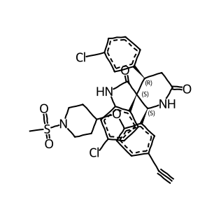 C#Cc1ccc(OC2CCN(S(C)(=O)=O)CC2)c([C@@H]2NC(=O)C[C@H](c3cccc(Cl)c3)[C@@]23C(=O)Nc2cc(Cl)ccc23)c1